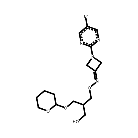 OCC(CON=C1CN(c2ncc(Br)cn2)C1)COC1CCCCO1